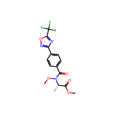 COC(=O)[C@H](C)N(OC)C(=O)c1ccc(-c2noc(C(F)(F)F)n2)cc1